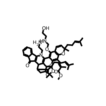 COC(=O)/C(C)=C\CC12OC(C)(C)C3CC(C1=O)C1C4=C(c5ccccc5C4=O)N(CCN)C4=C1C32Oc1c(CC=C(C)C)c2c(c(OCNCCO)c14)C=CC(C)(CCC=C(C)C)O2